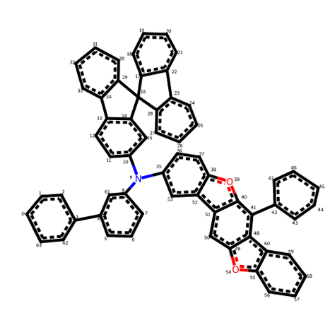 c1ccc(-c2cccc(N(c3ccc4c(c3)C3(c5ccccc5-c5ccccc53)c3ccccc3-4)c3ccc4oc5c(-c6ccccc6)c6c(cc5c4c3)oc3ccccc36)c2)cc1